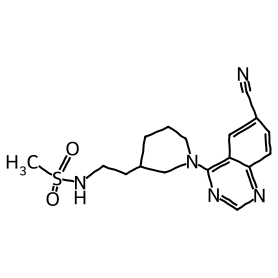 CS(=O)(=O)NCCC1CCCN(c2ncnc3ccc(C#N)cc23)C1